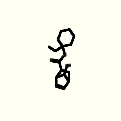 CCC1(OC(=O)C2CC3C=CC2C3O)CCCCC1